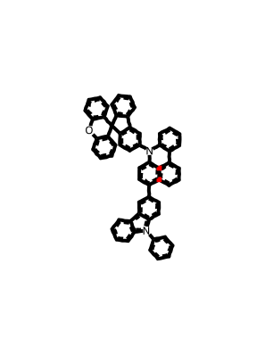 c1ccc(-c2ccccc2N(c2ccc(-c3ccc4c(c3)c3ccccc3n4-c3ccccc3)cc2)c2ccc3c(c2)-c2ccccc2C32c3ccccc3Oc3ccccc32)cc1